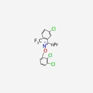 CCC/C(=N\OCc1cccc(Cl)c1Cl)c1cc(Cl)ccc1C(F)(F)F